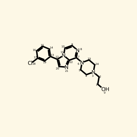 OCCN1CCN(c2nccn3c(-c4cccc(Cl)c4)cnc23)CC1